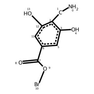 NCc1c(O)cc(C(=O)OBr)cc1O